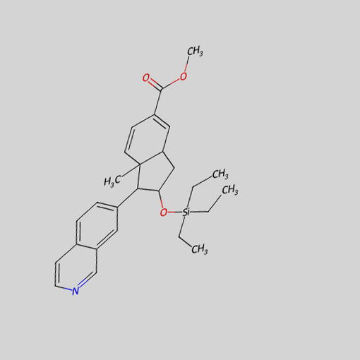 CC[Si](CC)(CC)OC1CC2C=C(C(=O)OC)C=CC2(C)C1c1ccc2ccncc2c1